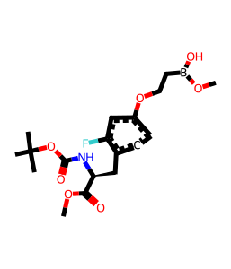 COB(O)CCOc1ccc(C[C@H](NC(=O)OC(C)(C)C)C(=O)OC)c(F)c1